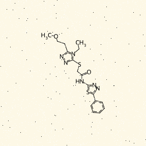 CCn1c(CCOC)nnc1SCC(=O)Nc1nnc(-c2ccccc2)s1